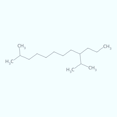 CCCC(CCCCCCC(C)C)C(C)C